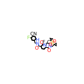 N#Cc1ccc(CNC(=O)c2ccc3n(c2=O)CCN(CC2(S(=O)(=O)C4(C(F)(F)F)CC4)CC2)C3=O)cc1F